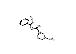 CC1CCCN(C(=O)Oc2n[nH]c3ccccc23)C1